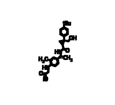 Cc1cc([C@@H](C)NC(=O)C2CC2(CO)c2ccc(C(C)(C)C)cc2)ccc1NC[SH](=O)=O